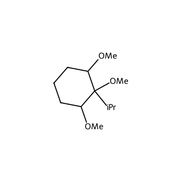 COC1CCCC(OC)C1(OC)C(C)C